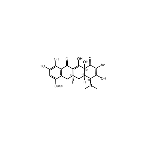 COc1cc(O)c(O)c2c1C[C@H]1C[C@H]3[C@H](N(C)C)C(O)=C(C(C)=O)C(=O)[C@@]3(O)C(O)=C1C2=O